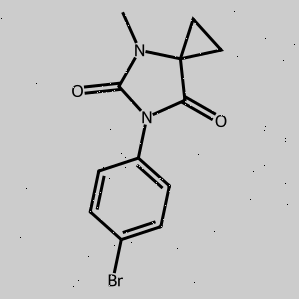 CN1C(=O)N(c2ccc(Br)cc2)C(=O)C12CC2